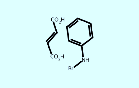 BrNc1ccccc1.O=C(O)C=CC(=O)O